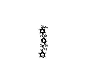 COc1ccc(S(=O)(=O)c2ccc(NC(=O)NCc3ccncc3)cc2)cc1